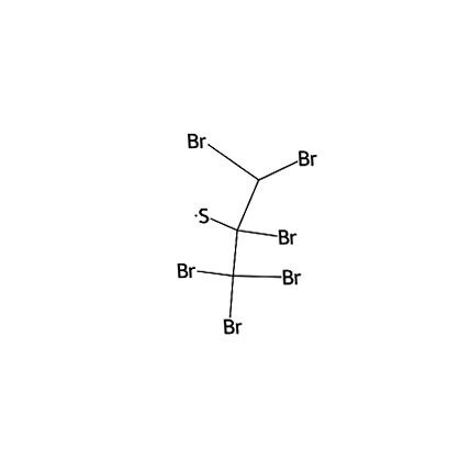 [S]C(Br)(C(Br)Br)C(Br)(Br)Br